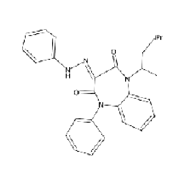 CC(C)CC(C)n1c(=O)c(=NNc2ccccc2)c(=O)n(-c2ccccc2)c2ccccc21